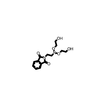 O=C1c2ccccc2C(=O)N1CCN(OCCO)OCCO